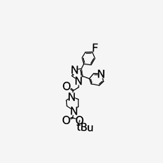 CC(C)(C)OC(=O)N1CCN(C(=O)Cn2cnc(-c3ccc(F)cc3)c2-c2cccnc2)CC1